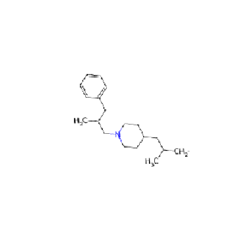 [CH2]C(C)CC1CCN(CC(C)Cc2ccccc2)CC1